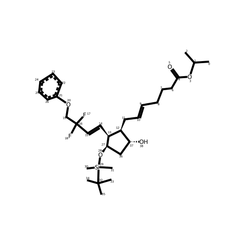 CC(C)OC(=O)CCCC=CC[C@@H]1[C@H](C=CC(F)(F)COc2ccccc2)[C@H](O[Si](C)(C)C(C)(C)C)C[C@H]1O